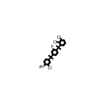 CC(C)c1ccc(C(C)(C)c2ccc(C(C)(C)c3cccc(Cl)c3Cl)c(F)c2)cc1Cl